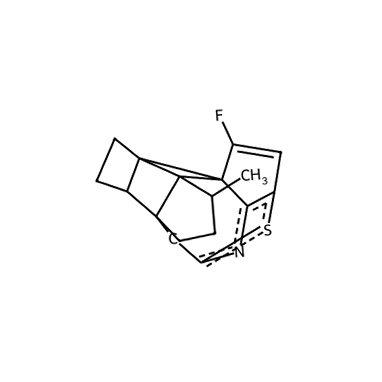 CC1CCC23Cc4nc5c(s4)C=C(F)C54C5(CCC25)C134